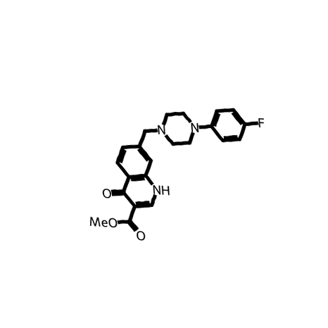 COC(=O)c1c[nH]c2cc(CN3CCN(c4ccc(F)cc4)CC3)ccc2c1=O